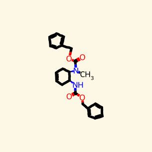 CN(C(=O)OCc1ccccc1)[C@@H]1CC=CC[C@@H]1NC(=O)OCc1ccccc1